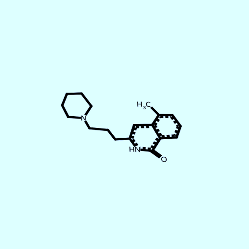 Cc1cccc2c(=O)[nH]c(CCCN3CCCCC3)cc12